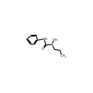 CCCN(O)C(=O)Nc1ccccc1